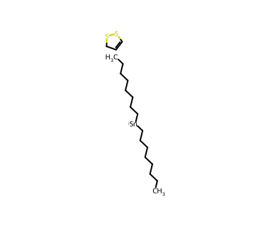 C1=CSSC1.CCCCCCC[CH2][Sn][CH2]CCCCCCC